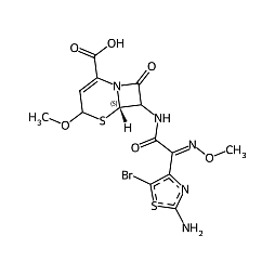 CON=C(C(=O)NC1C(=O)N2C(C(=O)O)=CC(OC)S[C@@H]12)c1nc(N)sc1Br